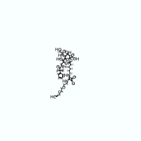 C#CCOCCOCCNc1c(NCCCCCCO[C@]2(C(=O)O)C[C@H](O)[C@@H](NC(=O)CO)[C@H]([C@H](O)[C@H](O)CNC(=O)C(F)(F)c3ccccc3)O2)c(=O)c1=O